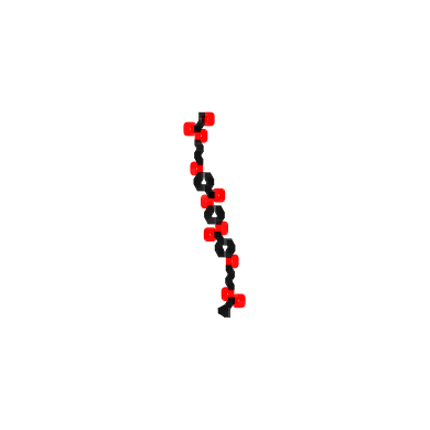 O=C(Oc1ccc(OC(=O)c2ccc(OCCCCOC(=O)C3CO3)cc2)cc1)c1ccc(OCCCCOC(=O)C2CC2)cc1